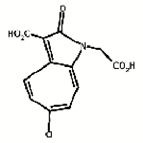 O=C(O)Cn1c2ccc(Cl)ccc-2c(C(=O)O)c1=O